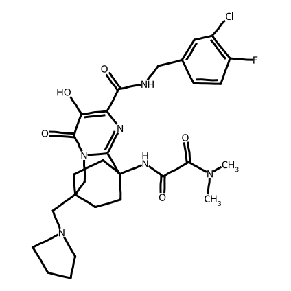 CN(C)C(=O)C(=O)NC12CCC(CN3CCCC3)(CC1)Cn1c2nc(C(=O)NCc2ccc(F)c(Cl)c2)c(O)c1=O